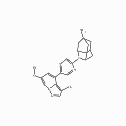 CCOc1cc(-c2cnc(N3C4CC5CC3CC(N)(C5)C4)cn2)c2c(C#N)cnn2c1